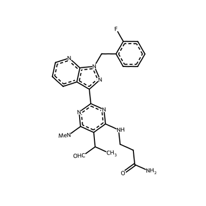 CNc1nc(-c2nn(Cc3ccccc3F)c3ncccc23)nc(NCCC(N)=O)c1C(C)C=O